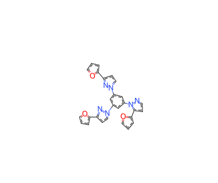 c1coc(-c2ccn(-c3cc(-n4ccc(-c5ccco5)n4)cc(-n4nccc4-c4ccco4)c3)n2)c1